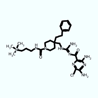 C[N+](C)(C)CCCNC(=O)N1CCC(CCc2ccccc2)(CN/C(N)=N/C(=O)c2nc(Cl)c(N)nc2N)CC1